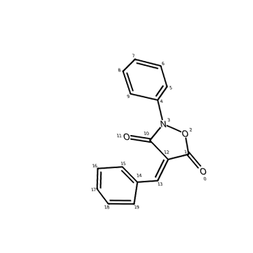 O=C1ON(c2ccccc2)C(=O)C1=Cc1ccccc1